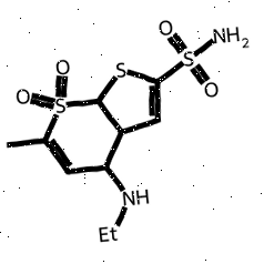 CCNC1C=C(C)S(=O)(=O)C2SC(S(N)(=O)=O)=CC12